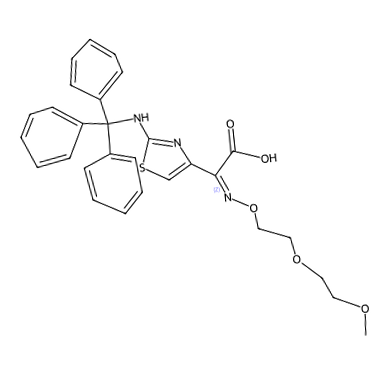 COCCOCCO/N=C(\C(=O)O)c1csc(NC(c2ccccc2)(c2ccccc2)c2ccccc2)n1